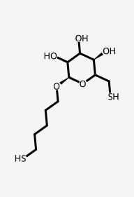 OC1C(O)[C@@H](O)C(CS)O[C@H]1OCCCCCS